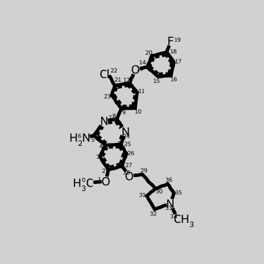 COc1cc2c(N)nc(-c3ccc(Oc4cccc(F)c4)c(Cl)c3)nc2cc1OCC1CCN(C)CC1